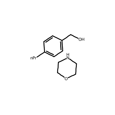 C1COCCN1.CCCc1ccc(CO)cc1